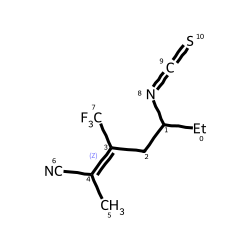 CCC(C/C(=C(\C)C#N)C(F)(F)F)N=C=S